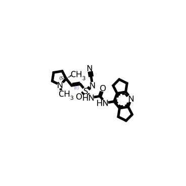 CN1CCC[C@@]1(C)/C=C/S(=O)(=NC#N)NC(=O)Nc1c2c(nc3c1CCC3)CCC2